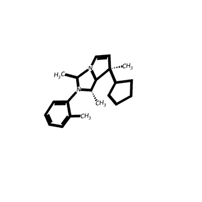 Cc1ccccc1N1C(C)N2C=C[C@@](C)(C3CCCC3)C2[C@@H]1C